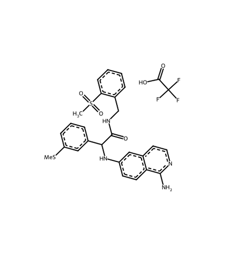 CSc1cccc(C(Nc2ccc3c(N)nccc3c2)C(=O)NCc2ccccc2S(C)(=O)=O)c1.O=C(O)C(F)(F)F